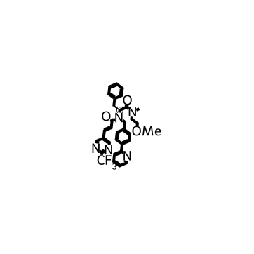 COCCN(C)C(=O)[C@H](Cc1ccccc1)N(Cc1ccc(-c2ccccn2)cc1)C(=O)C=Cc1cnc(C(F)(F)F)nc1